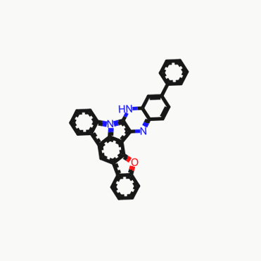 C1=CC2=Nc3c(n4c5ccccc5c5cc6c7ccccc7oc6c3c54)NC2C=C1c1ccccc1